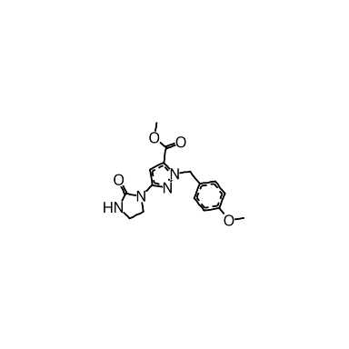 COC(=O)c1cc(N2CCNC2=O)nn1Cc1ccc(OC)cc1